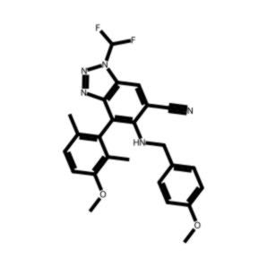 COc1ccc(CNc2c(C#N)cc3c(nnn3C(F)F)c2-c2c(C)ccc(OC)c2C)cc1